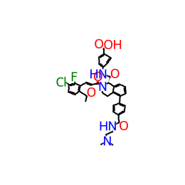 CC(=O)c1ccc(Cl)c(F)c1/C=C/C(=O)N1CCc2c(-c3ccc(C(=O)NCCN(C)C)cc3)cccc2[C@H]1C(=O)Nc1ccc(C(=O)O)cc1